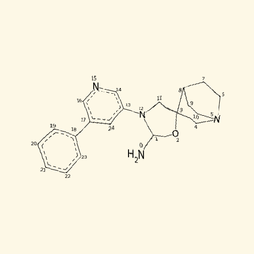 NC1OC2(CN3CCC2CC3)CN1c1cncc(-c2ccccc2)c1